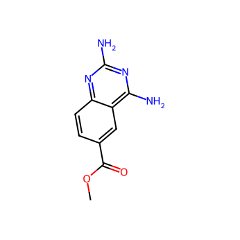 COC(=O)c1ccc2nc(N)nc(N)c2c1